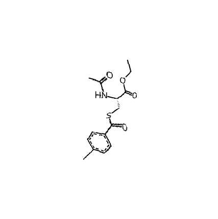 CCOC(=O)[C@H](CSC(=O)c1ccc(C)cc1)NC(C)=O